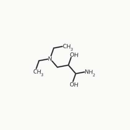 CCN(CC)CC(O)C(N)O